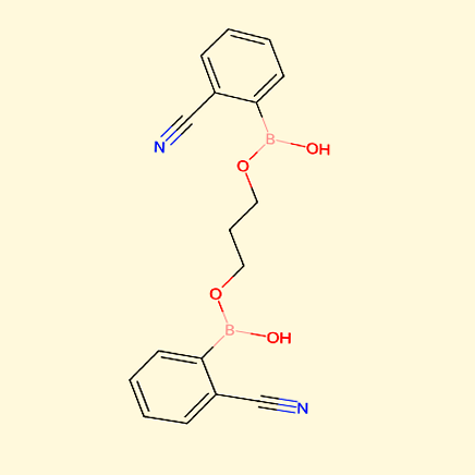 N#Cc1ccccc1B(O)OCCCOB(O)c1ccccc1C#N